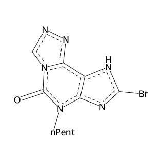 CCCCCn1c(=O)n2cnnc2c2[nH]c(Br)nc21